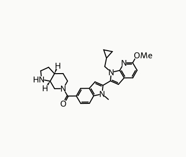 COc1ccc2cc(-c3cc4cc(C(=O)N5CC[C@H]6CCN[C@H]6C5)ccc4n3C)n(CC3CC3)c2n1